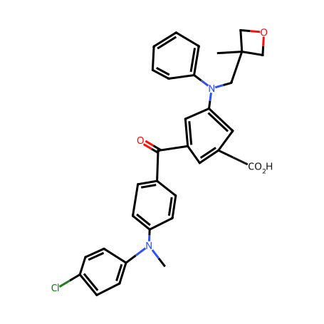 CN(c1ccc(Cl)cc1)c1ccc(C(=O)c2cc(C(=O)O)cc(N(CC3(C)COC3)c3ccccc3)c2)cc1